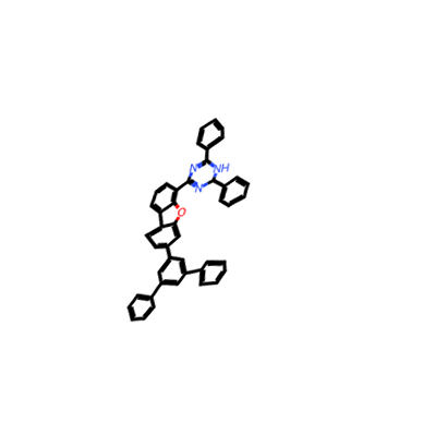 c1ccc(C2=NC(c3cccc4c3oc3cc(-c5cc(-c6ccccc6)cc(-c6ccccc6)c5)ccc34)=NC(c3ccccc3)N2)cc1